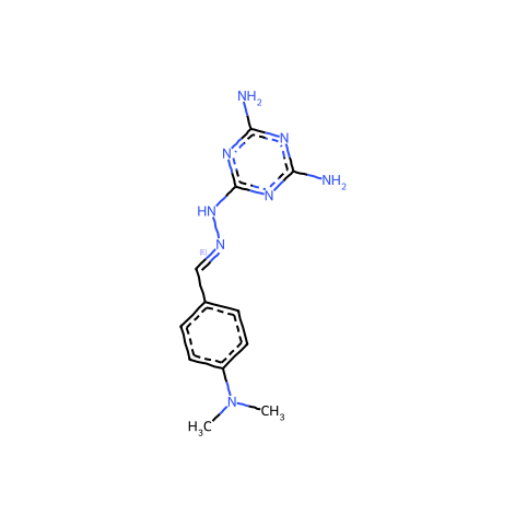 CN(C)c1ccc(/C=N/Nc2nc(N)nc(N)n2)cc1